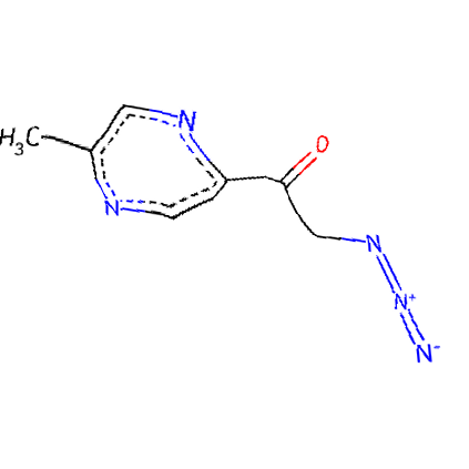 Cc1cnc(C(=O)CN=[N+]=[N-])cn1